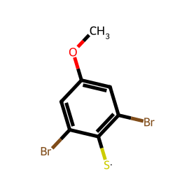 COc1cc(Br)c([S])c(Br)c1